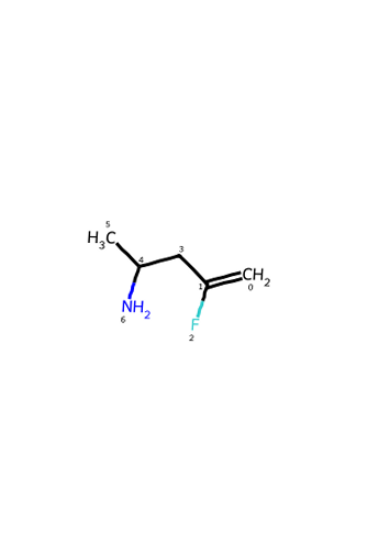 C=C(F)CC(C)N